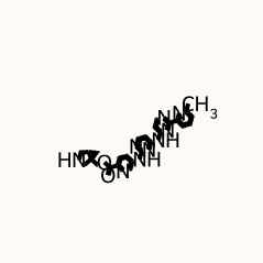 Cc1cccc(-c2nccc(Nc3ccnc(Nc4ccc(C(=O)OCC56CNCC5C6)nc4)n3)n2)n1